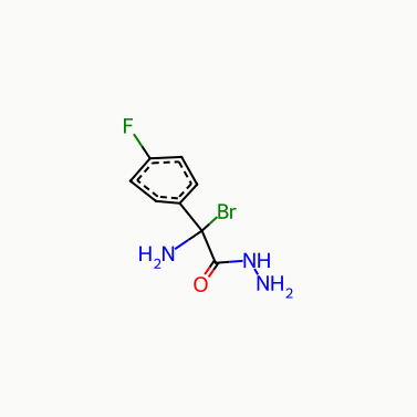 NNC(=O)C(N)(Br)c1ccc(F)cc1